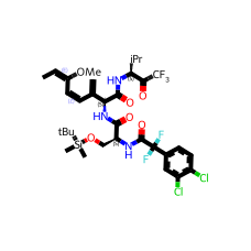 C=C(/C=C\C(=C/C)OC)[C@H](NC(=O)[C@H](CO[Si](C)(C)C(C)(C)C)NC(=O)C(F)(F)c1ccc(Cl)c(Cl)c1)C(=O)N[C@H](C(=O)C(F)(F)F)C(C)C